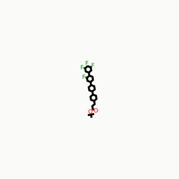 CC(C)(C)OC(=O)CCC1CCC(C2CCC(C3CCC(C4CC(F)C(F)C(F)C4)C(F)C3)CC2)CC1